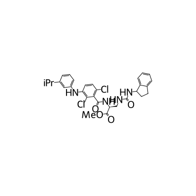 COC(=O)[C@H](CNC(=O)NC1CCc2ccccc21)NC(=O)c1c(Cl)ccc(Nc2cccc(C(C)C)c2)c1Cl